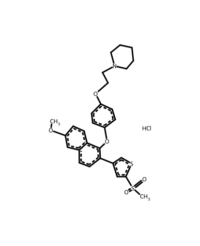 COc1ccc2c(Oc3ccc(OCCN4CCCCC4)cc3)c(-c3csc(S(C)(=O)=O)c3)ccc2c1.Cl